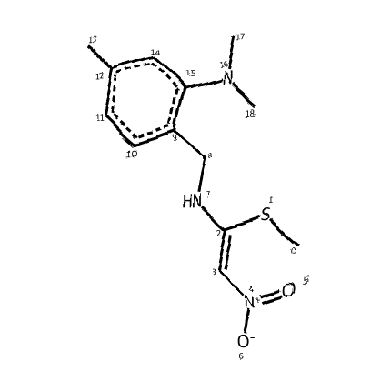 CSC(=C[N+](=O)[O-])NCc1ccc(C)cc1N(C)C